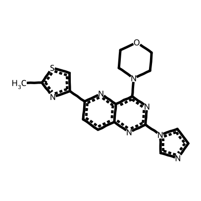 Cc1nc(-c2ccc3nc(-n4ccnc4)nc(N4CCOCC4)c3n2)cs1